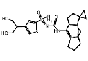 NS(=O)(=NC(=O)Nc1c2c(nc3c1CCC31CC1)CCC2)c1cc(C(CO)CO)cs1